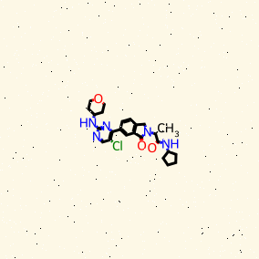 C[C@H](C(=O)NC1CCCC1)N1Cc2ccc(-c3nc(NC4CCOCC4)ncc3Cl)cc2C1=O